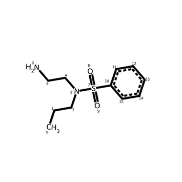 CCCN(CCN)S(=O)(=O)c1ccccc1